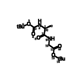 C[C@H](NC(=O)OC(C)(C)C)C(=O)NCC(=O)OC(C)(C)C